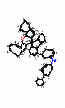 c1ccc(-c2ccc(Nc3cccc(-c4cccc5c4-c4ccccc4C54c5ccc6ccccc6c5Oc5c4ccc4ccccc54)c3)cc2)cc1